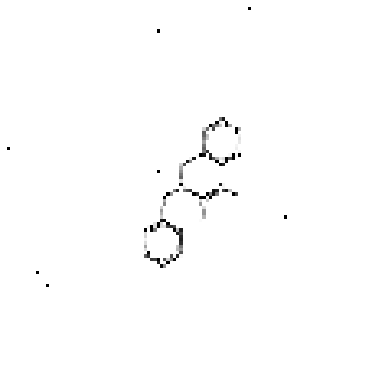 C/N=C(\C)N(Cc1ccccc1)Cc1ccccc1